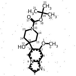 COc1cc2nccn2cc1C1(O)CCN(C(=O)OC(C)(C)C)CC1